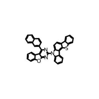 c1ccc2cc(-c3nc(-n4c5ccccc5c5c6sc7ccccc7c6ccc54)nc4oc5ccccc5c34)ccc2c1